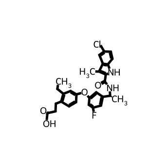 CCc1cc(Oc2cc(F)cc([C@@H](C)NC(=O)c3[nH]c4ccc(Cl)cc4c3C)c2)ccc1CCC(=O)O